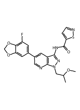 COC(C)Cn1nc(NC(=O)c2ccns2)c2cc(-c3cc(F)c4c(c3)OCO4)cnc21